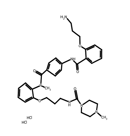 CN1CCN(C(=O)NCCCOc2ccccc2N(C)C(=O)c2ccc(NC(=O)c3ccccc3OCCCN)cc2)CC1.Cl.Cl